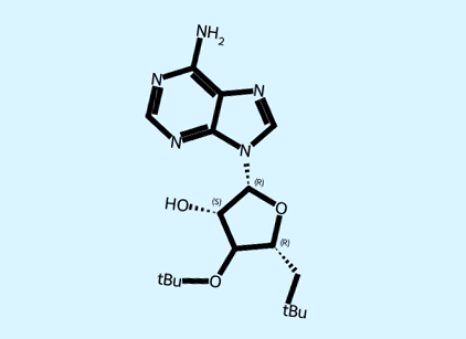 CC(C)(C)C[C@H]1O[C@@H](n2cnc3c(N)ncnc32)[C@@H](O)C1OC(C)(C)C